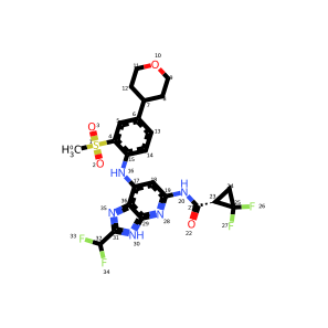 CS(=O)(=O)c1cc(C2CCOCC2)ccc1Nc1cc(NC(=O)[C@@H]2CC2(F)F)nc2[nH]c(C(F)F)nc12